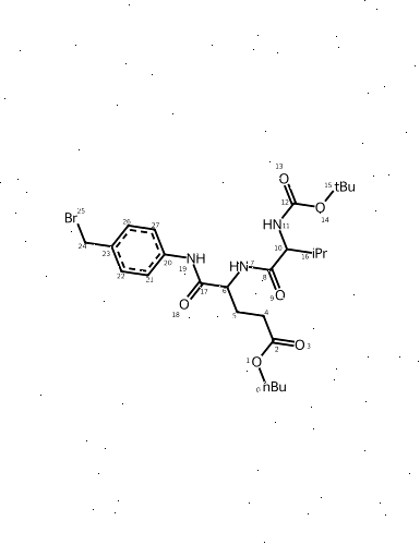 CCCCOC(=O)CCC(NC(=O)C(NC(=O)OC(C)(C)C)C(C)C)C(=O)Nc1ccc(CBr)cc1